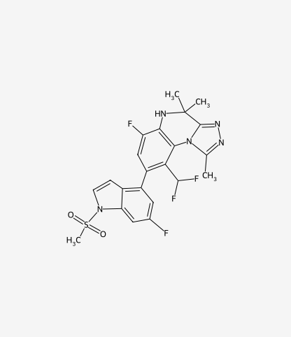 Cc1nnc2n1-c1c(c(F)cc(-c3cc(F)cc4c3ccn4S(C)(=O)=O)c1C(F)F)NC2(C)C